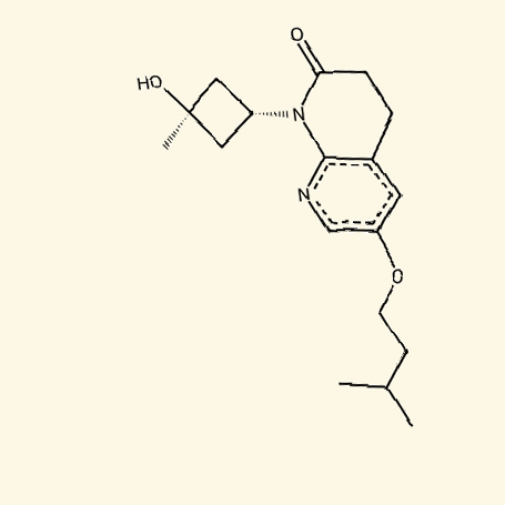 CC(C)CCOc1cnc2c(c1)CCC(=O)N2[C@H]1C[C@](C)(O)C1